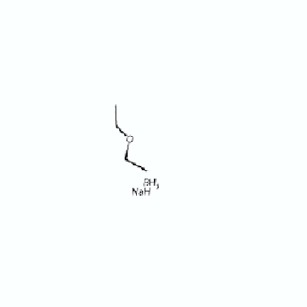 B.CCOCC.[NaH]